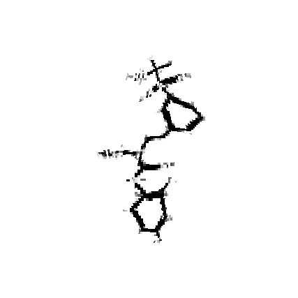 CCCCCCCN(CCc1cccc(S(=O)(=O)C(C)(C)C(=O)O)c1)C(=O)Nc1ccc(F)cc1F